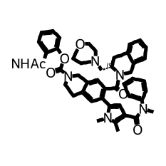 CC(=O)Nc1ccccc1OC(=O)N1CCc2cc(-c3cc(C(=O)N(C)c4ccccc4)c(C)n3C)c(C(=O)N3Cc4ccccc4C[C@H]3CN3CCOCC3)cc2C1